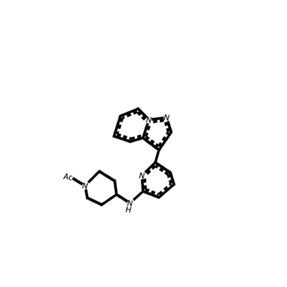 CC(=O)N1CCC(Nc2cccc(-c3cnn4ccccc34)n2)CC1